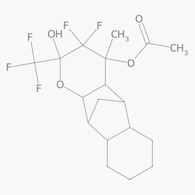 CC(=O)OC1(C)C2C3CC(C4CCCCC43)C2OC(O)(C(F)(F)F)C1(F)F